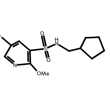 COc1ncc(Br)cc1S(=O)(=O)NCC1CCCC1